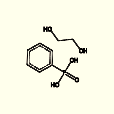 O=P(O)(O)c1ccccc1.OCCO